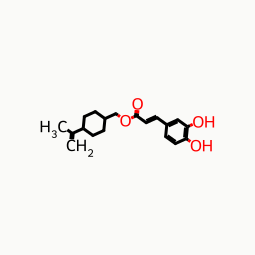 C=C(C)C1CCC(COC(=O)C=Cc2ccc(O)c(O)c2)CC1